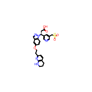 O=C(O)C[C@@H](c1cncc(C[SH](=O)=O)c1)n1ncc2cc(OCCc3ccc4c(n3)NCCC4)ccc21